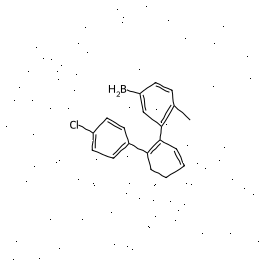 Bc1ccc(C)c(C2=C(c3ccc(Cl)cc3)CCC=C2)c1